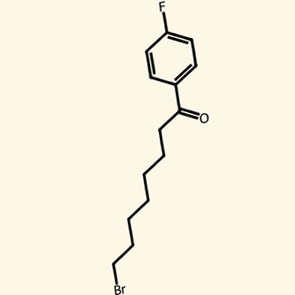 O=C(CCCCCCCBr)c1ccc(F)cc1